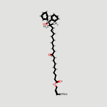 CCCCCC/C=C\COC(=O)CCCCCCCCC(=O)CCCCCCCCCC(C)(C)[Si](O)(c1ccccc1)c1ccccc1